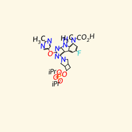 Cc1ncc(Oc2nc(N3CC4CC(OP(=O)(OC(C)C)OC(C)C)C4C3)c3c(n2)[nH]c2c(N(C)C(=O)O)cc(F)cc23)cn1